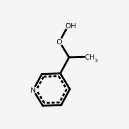 CC(OO)c1cccnc1